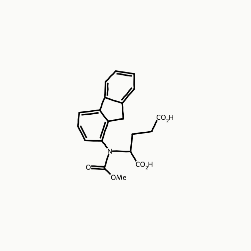 COC(=O)N(c1cccc2c1Cc1ccccc1-2)C(CCC(=O)O)C(=O)O